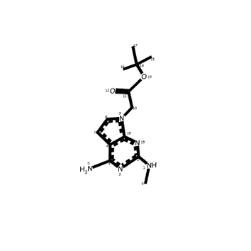 CNc1nc(N)c2ccn(CC(=O)OC(C)(C)C)c2n1